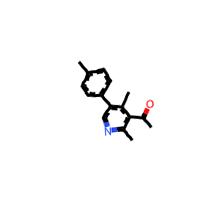 CC(=O)c1c(C)ncc(-c2ccc(C)cc2)c1C